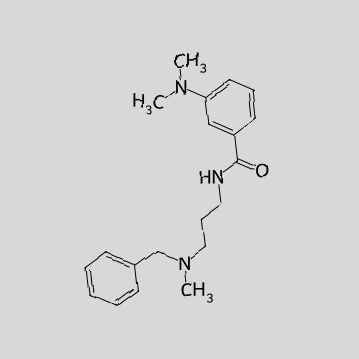 CN(CCCNC(=O)c1cccc(N(C)C)c1)Cc1ccccc1